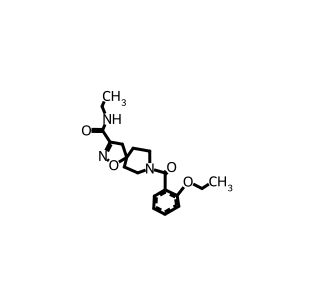 CCNC(=O)C1=NOC2(CCN(C(=O)c3ccccc3OCC)CC2)C1